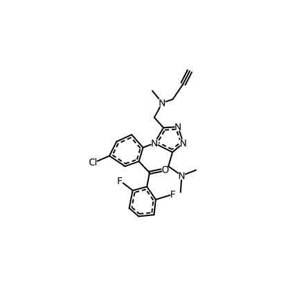 C#CCN(C)Cc1nnc(CN(C)C)n1-c1ccc(Cl)cc1C(=O)c1c(F)cccc1F